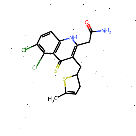 CC1=CCC(Cc2c(CC(N)=O)[nH]c3ccc(Cl)c(Cl)c3c2=S)S1